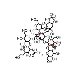 CC(=O)NC1C(O)CC(CO)(CO[C@@H]2OC(CO[C@H]3OC(CO)[C@@H](O)C(O)C3O[C@H](O)C(NC(C)=O)C(O)[C@H](O)CCO)[C@@H](O)C(OC3OC(CO)C(O)C(O)C3O[C@@H]3OC(CO)[C@@H](O)C(O)C3NC(C)=O)C2O)O[C@H]1O[C@@H]1C(CO)O[C@@H](C)C(NC(C)=O)C1O